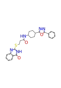 O=C(CCSc1nc2ccccc2c(=O)[nH]1)NC1CCC(c2nnc(-c3ccccc3)o2)CC1